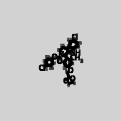 CC1C=C(OCC2OCCO2)C=CC1C1c2[nH]c3ccc(Cl)cc3c2CCN1C(=O)Oc1ccc(Cl)cc1